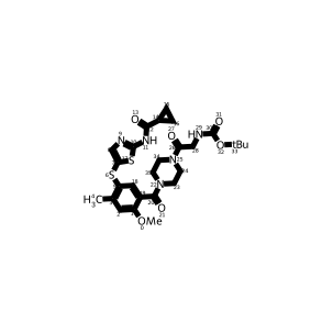 COc1cc(C)c(Sc2cnc(NC(=O)C3CC3)s2)cc1C(=O)N1CCN(C(=O)CNC(=O)OC(C)(C)C)CC1